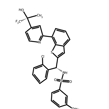 COc1cccc(S(=O)(=O)N[C@@H](c2cc3cccc(-c4cc([C@](C)(O)C(F)(F)F)ccn4)c3s2)c2ccccc2Cl)c1